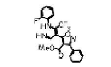 COC(=O)c1c(-c2ccccc2)noc1/C(C=N)=C(/Nc1ccccc1F)C(F)(F)F